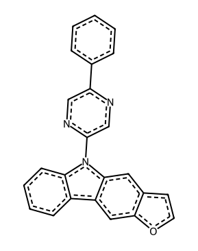 c1ccc(-c2cnc(-n3c4ccccc4c4cc5occc5cc43)cn2)cc1